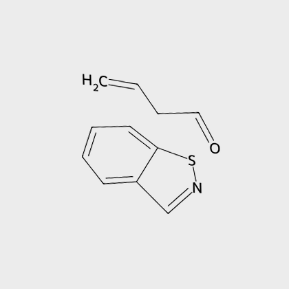 C=CCC=O.c1ccc2sncc2c1